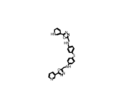 C1=CC(c2nnc(CNc3ccc(Sc4ccc(NCc5nnc(-c6cccnc6)o5)cc4)cc3)o2)=CNC1